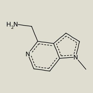 Cn1ccc2c(CN)nccc21